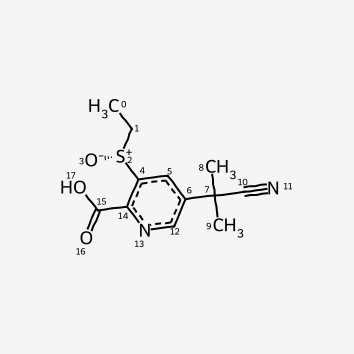 CC[S@@+]([O-])c1cc(C(C)(C)C#N)cnc1C(=O)O